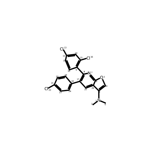 CN(C)c1[c]oc2nc(-c3ccc(Cl)cc3Cl)c(-c3ccc(Cl)cc3)cc12